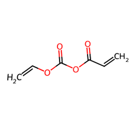 C=COC(=O)OC(=O)C=C